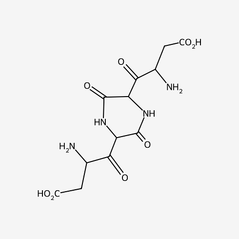 NC(CC(=O)O)C(=O)C1NC(=O)C(C(=O)C(N)CC(=O)O)NC1=O